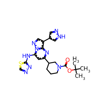 CC(C)(C)OC(=O)N1CCCC(c2cc(Nc3nncs3)n3ncc(-c4cn[nH]c4)c3n2)C1